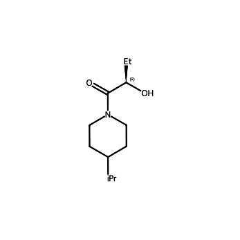 CC[C@@H](O)C(=O)N1CCC(C(C)C)CC1